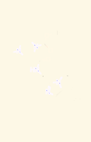 CN1CCN(C(=O)OC(C)(C)C)[C@H](C(=O)NC(C)(C)c2ncc3c(C(F)(F)F)cccn23)C1